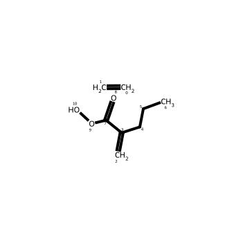 C=C.C=C(CCC)C(=O)OO